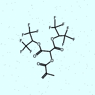 C=C(C)C(=O)OC(C(=O)OC(C(F)(F)F)C(F)(F)F)C(=O)OC(C(F)(F)F)C(F)(F)F